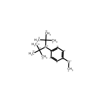 COc1ccc(N(C(C)(C)C)C(C)(C)C)cc1